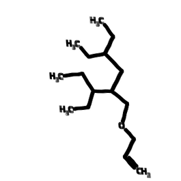 C=CCOCC(CC(CC)CC)C(CC)CC